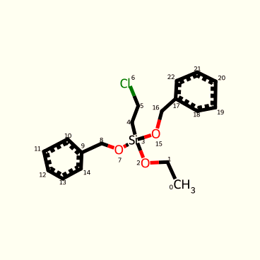 CCO[Si](CCCl)(OCc1ccccc1)OCc1ccccc1